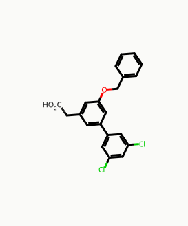 O=C(O)Cc1cc(OCc2ccccc2)cc(-c2cc(Cl)cc(Cl)c2)c1